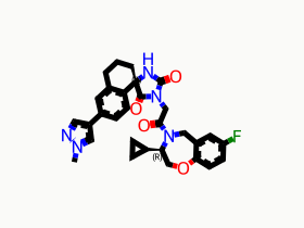 Cn1cc(-c2ccc3c(c2)CCC[C@]32NC(=O)N(CC(=O)N3Cc4cc(F)ccc4OC[C@H]3C3CC3)C2=O)cn1